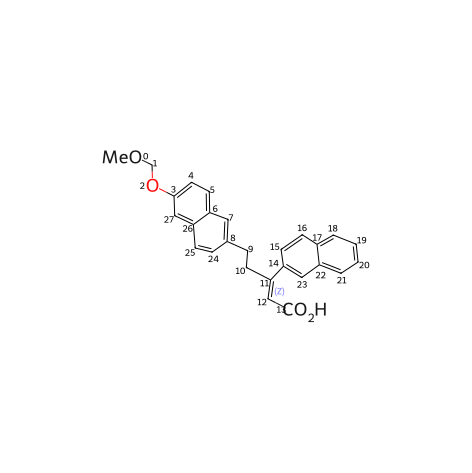 COCOc1ccc2cc(CC/C(=C/C(=O)O)c3ccc4ccccc4c3)ccc2c1